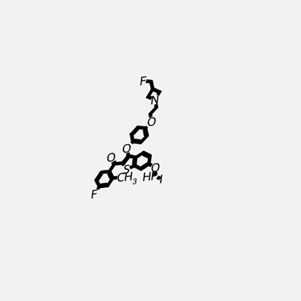 Cc1cc(F)ccc1C(=O)c1sc2cc(OPI)ccc2c1Oc1ccc(OCCN2CC(CF)C2)cc1